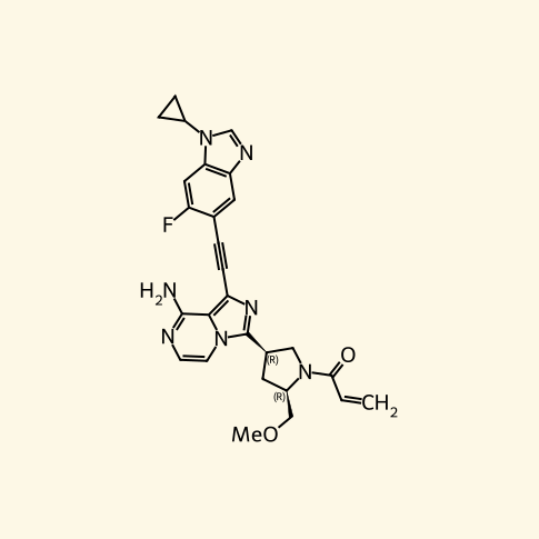 C=CC(=O)N1C[C@H](c2nc(C#Cc3cc4ncn(C5CC5)c4cc3F)c3c(N)nccn23)C[C@@H]1COC